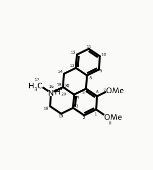 COc1cc2c3c(c1OC)-c1ccccc1C[C@H]3N(C)CC2